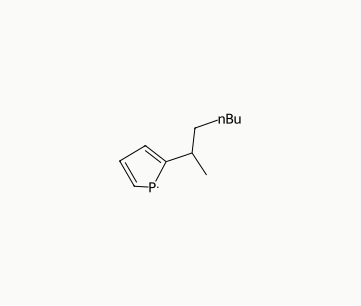 CCCCCC(C)C1=CC=C[P]1